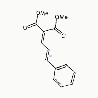 COC(=O)C(=C/C=C/c1ccccc1)C(=O)OC